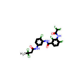 CC(Cl)(Cl)CC(=O)Nc1ccc(Cl)c(NC(=O)c2ccc(F)c(NC(=O)C(F)F)c2F)c1